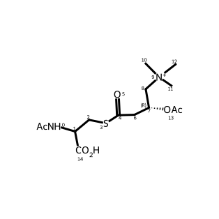 CC(=O)NC(CSC(=O)C[C@H](C[N+](C)(C)C)OC(C)=O)C(=O)O